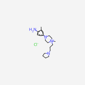 Cc1cc(N2CC[N+](C)(CCCN3CCCC3)CC2)ccc1N.[Cl-]